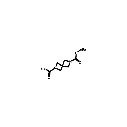 CCCCOC(=O)N1CC2(C1)CN(C(=O)C(C)(C)C)C2